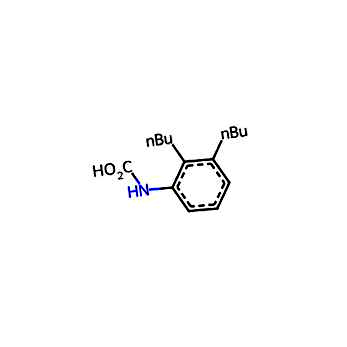 CCCCc1cccc(NC(=O)O)c1CCCC